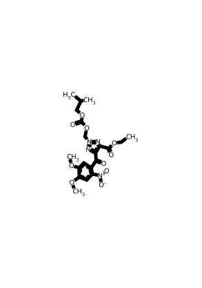 CCOC(=O)c1nn(COC(=O)OCC(C)C)nc1C(=O)c1cc(OC)c(OC)cc1[N+](=O)[O-]